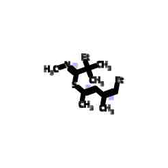 CC/C=C(C)\C=C(/C)S/C(=N\C)C(C)(C)CC